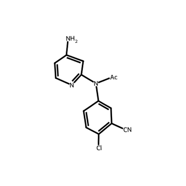 CC(=O)N(c1ccc(Cl)c(C#N)c1)c1cc(N)ccn1